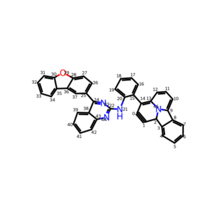 C1#CC2c3ccccc3C3=CC=CC(=C1c1ccccc1Nc1nc(-c4ccc5oc6ccccc6c5c4)c4ccccc4n1)N32